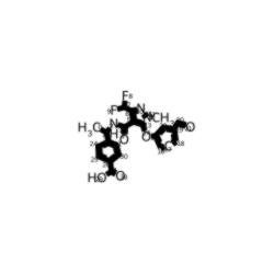 CC(NC(=O)c1c(C(F)F)nn(C)c1Oc1cccc(C=O)c1)c1ccc(C(=O)O)cc1